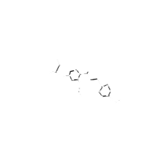 CC=C(CC)Oc1ccc(C(=O)C=Cc2ccc(CCC)cc2)c(OCC(=O)O)c1